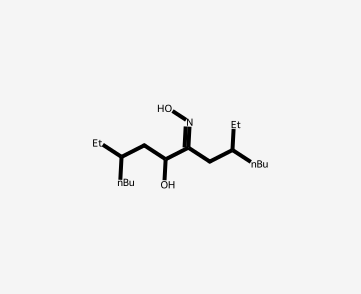 CCCCC(CC)CC(=NO)C(O)CC(CC)CCCC